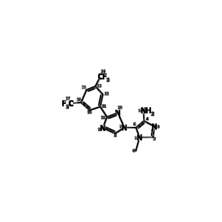 Cn1cnc(N)c1-n1cnc(-c2cc(C(F)(F)F)cc(C(F)(F)F)c2)n1